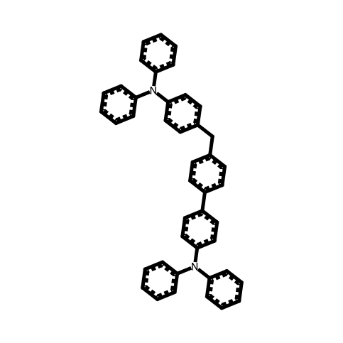 c1ccc(N(c2ccccc2)c2ccc(Cc3ccc(-c4ccc(N(c5ccccc5)c5ccccc5)cc4)cc3)cc2)cc1